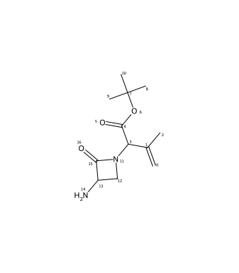 C=C(C)C(C(=O)OC(C)(C)C)N1CC(N)C1=O